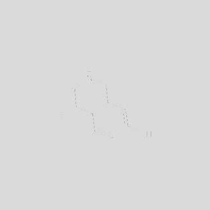 Cc1ccc2c(c1)CNC[C@H]2F